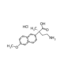 COc1ccc2cc([C@](C)(CCN)C(=O)O)ccc2c1.Cl